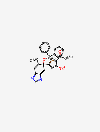 COC(=O)c1sc(C2(O[Si](c3ccccc3)(c3ccccc3)C(C)(C)C)C=C3N=CN=C3C=C2OC)cc1O